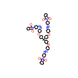 CC(c1ccc(Oc2ccc(N=Nc3ccc(N4C(=O)c5ccccc5C4=O)cc3)cc2)cc1)(c1ccc(Oc2ccc(N=Nc3ccc(N4C(=O)c5ccccc5C4=O)cc3)cc2)cc1)c1ccc(Oc2ccc(N=Nc3ccc(N4C(=O)c5ccccc5C4=O)cc3)cc2)cc1